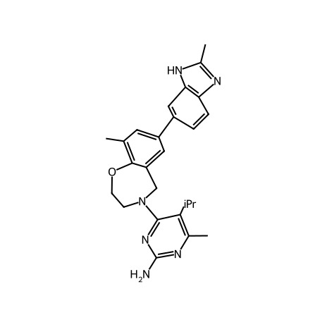 Cc1nc2ccc(-c3cc(C)c4c(c3)CN(c3nc(N)nc(C)c3C(C)C)CCO4)cc2[nH]1